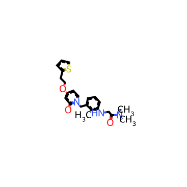 Cc1c(Cn2ccc(OCCc3cccs3)cc2=O)cccc1NCC(=O)N(C)C